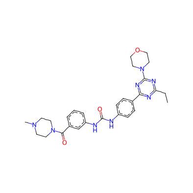 CCc1nc(-c2ccc(NC(=O)Nc3cccc(C(=O)N4CCN(C)CC4)c3)cc2)nc(N2CCOCC2)n1